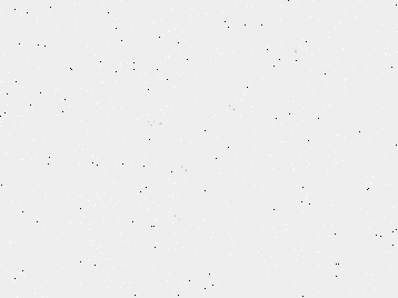 COC(=O)c1c(C(F)F)nc(Br)n1C1CCN(C(=O)OC(C)(C)C)C1